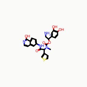 CN(C(=O)OC(CN)c1ccc(O)c(O)c1)C(C(=O)Nc1ccc2c(O)nccc2c1)c1ccsc1